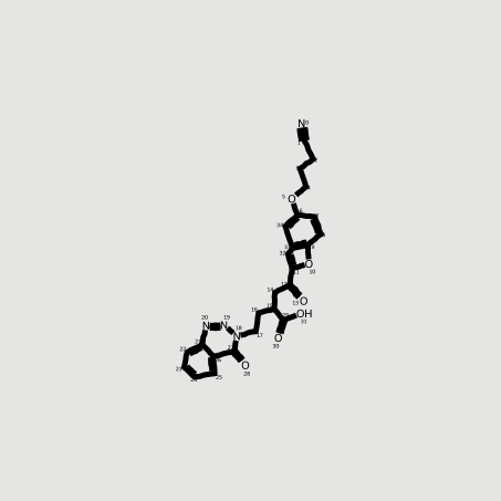 N#CCCCOc1ccc2oc(C(=O)CC(CCn3nnc4ccccc4c3=O)C(=O)O)cc2c1